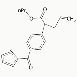 C=CCC(C(=O)OCCC)c1ccc(C(=O)c2cccs2)cc1